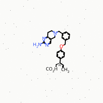 C=C[C@@H](CC(=O)O)c1ccc(OCc2cccc(CN3CCc4nc(N)ncc4C3)c2)cc1